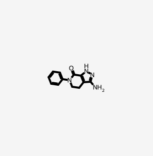 Nc1n[nH]c2c1CCN(c1ccccc1)C2=O